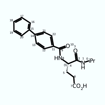 CC(C)NC(=O)[C@H](CCC(=O)O)NC(=O)c1ccc(-c2ccccc2)cc1